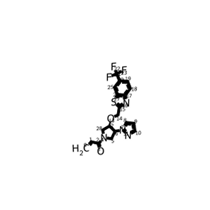 C=CC(=O)N1CC(n2cccn2)[C@H](OCc2nc3ccc(C(F)(F)F)cc3s2)C1